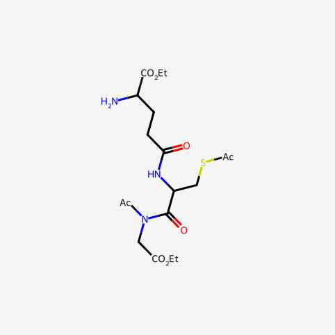 CCOC(=O)CN(C(C)=O)C(=O)C(CSC(C)=O)NC(=O)CCC(N)C(=O)OCC